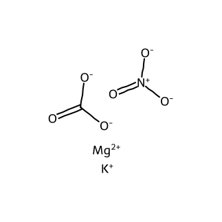 O=C([O-])[O-].O=[N+]([O-])[O-].[K+].[Mg+2]